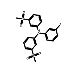 CS(=O)(=O)c1cccc([SH](c2cccc(F)c2)c2cccc(S(C)(=O)=O)c2)c1